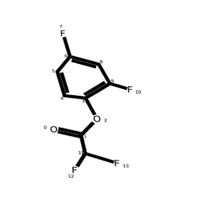 O=C(Oc1ccc(F)cc1F)C(F)F